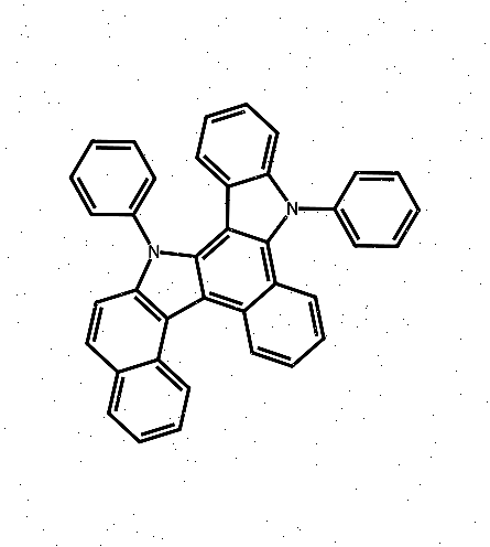 c1ccc(-n2c3ccccc3c3c2c2ccccc2c2c4c5ccccc5ccc4n(-c4ccccc4)c23)cc1